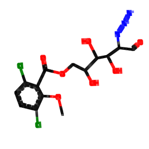 COc1c(Cl)ccc(Cl)c1C(=O)OCC(O)C(O)C(O)C(C=O)N=[N+]=[N-]